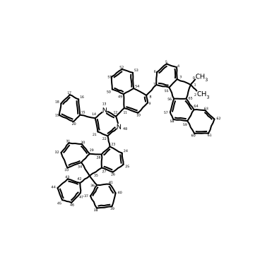 CC1(C)c2cccc(-c3ccc(-c4nc(-c5ccccc5)cc(-c5cccc6c5-c5ccccc5C6(c5ccccc5)c5ccccc5)n4)c4ccccc34)c2-c2ccc3ccccc3c21